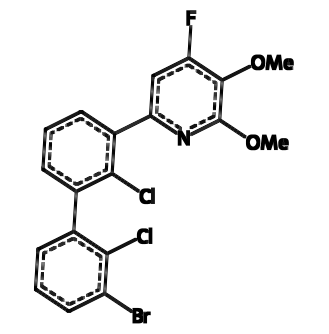 COc1nc(-c2cccc(-c3cccc(Br)c3Cl)c2Cl)cc(F)c1OC